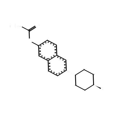 CCCCCCC(=O)Oc1ccc2cc([C@H]3CC[C@H](CC)CC3)ccc2c1